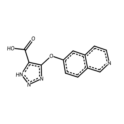 O=C(O)c1[nH]nnc1Oc1ccc2cnccc2c1